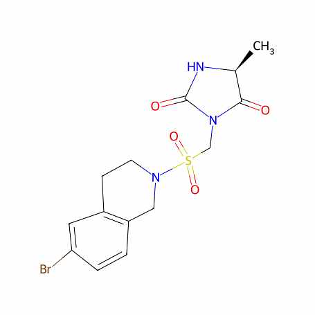 C[C@@H]1NC(=O)N(CS(=O)(=O)N2CCc3cc(Br)ccc3C2)C1=O